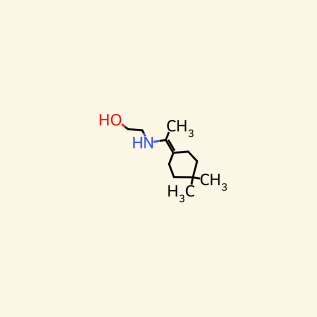 CC(NCCO)=C1CCC(C)(C)CC1